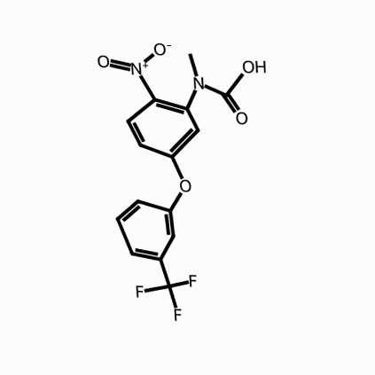 CN(C(=O)O)c1cc(Oc2cccc(C(F)(F)F)c2)ccc1[N+](=O)[O-]